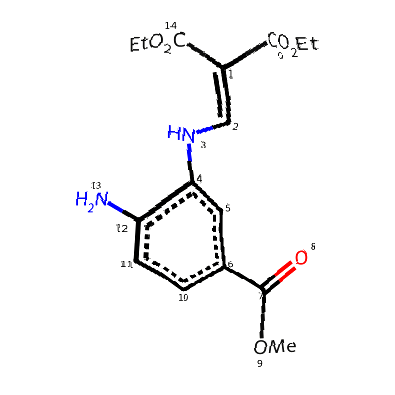 CCOC(=O)C(=CNc1cc(C(=O)OC)ccc1N)C(=O)OCC